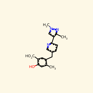 Cc1cc(O)c(C(=O)O)cc1Cc1ccc(-c2cn(C)nc2C)nc1